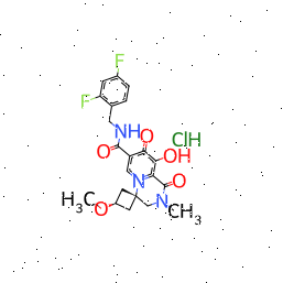 CO[C@H]1C[C@@]2(CN(C)C(=O)c3c(O)c(=O)c(C(=O)NCc4ccc(F)cc4F)cn32)C1.Cl